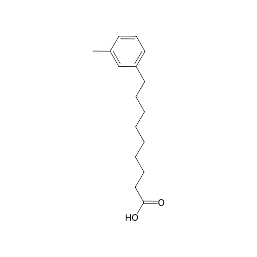 Cc1cccc(CCCCCCCCC(=O)O)c1